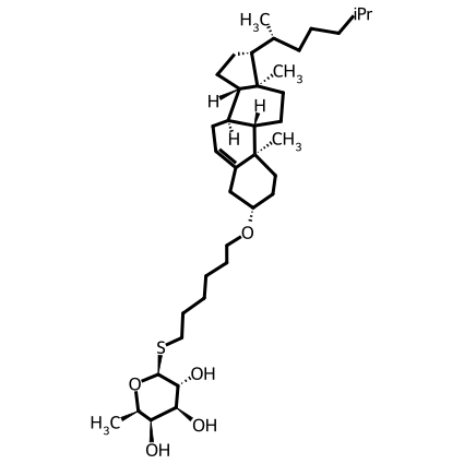 CC(C)CCC[C@@H](C)[C@H]1CC[C@H]2[C@@H]3CC=C4C[C@@H](OCCCCCCS[C@@H]5O[C@H](C)[C@H](O)[C@H](O)[C@H]5O)CC[C@]4(C)[C@H]3CC[C@]12C